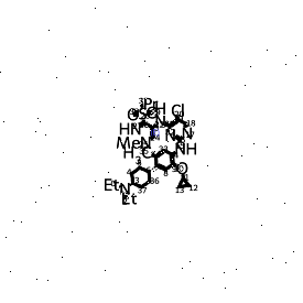 CCN(CC)[C@H]1CC[C@H](c2cc(OC3CC3)c(Nc3ncc(Cl)c(N/C(=C/NC)C(=N)S(=O)(=O)C(C)C)n3)cc2C)CC1